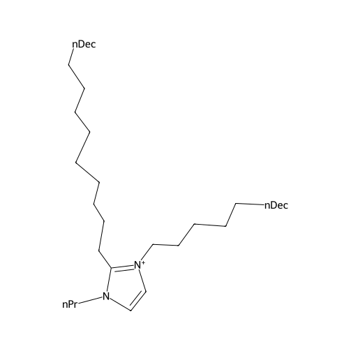 CCCCCCCCCCCCCCCCCCCc1n(CCC)cc[n+]1CCCCCCCCCCCCCCC